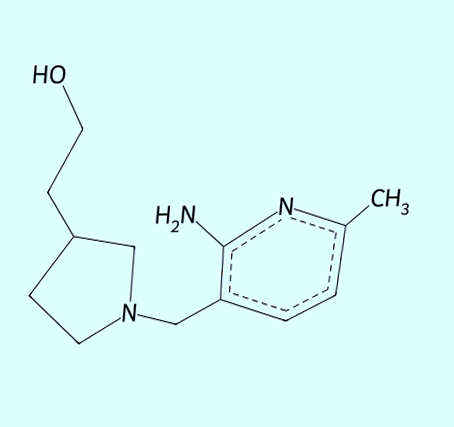 Cc1ccc(CN2CCC(CCO)C2)c(N)n1